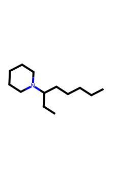 CCCCCC(CC)N1CCCCC1